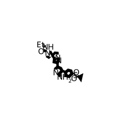 CCNC(=O)N1CC[C@@]2(CCn3nc(-c4cnc(N)c(-c5ccc(S(=O)(=O)C6CC6)cc5)c4)cc32)C1